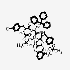 CC(C)(C)OC(=O)N[C@@H](Cc1ccc(Cl)cc1)C(=O)N[C@@H](CSC(c1ccccc1)(c1ccccc1)c1ccccc1)C(=O)N[C@@H](Cc1ccc(OC(C)(C)C)cc1)C(=O)N[C@H](Cc1ccccc1)C(=O)O